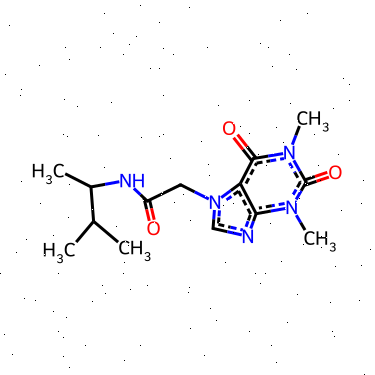 CC(C)C(C)NC(=O)Cn1cnc2c1c(=O)n(C)c(=O)n2C